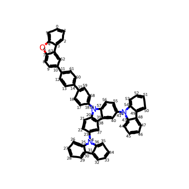 c1ccc2c(c1)oc1ccc(-c3ccc(-c4ccc(-n5c6ccc(-n7c8ccccc8c8ccccc87)cc6c6cc(-n7c8ccccc8c8ccccc87)ccc65)cc4)cc3)cc12